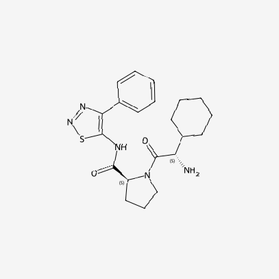 N[C@H](C(=O)N1CCC[C@H]1C(=O)Nc1snnc1-c1ccccc1)C1CCCCC1